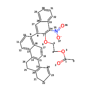 CC(=O)OCCOc1c(-c2cccc3c4c(ccc23)C2=C(CCC=C2)CC4)cc2ccccc2c1[N+](=O)[O-]